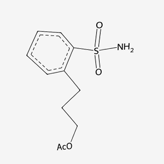 CC(=O)OCCCc1ccccc1S(N)(=O)=O